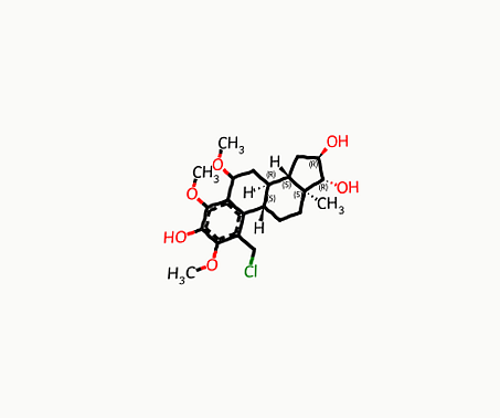 COc1c(O)c(OC)c2c(c1CCl)[C@H]1CC[C@]3(C)[C@@H](O)[C@H](O)C[C@H]3[C@@H]1CC2OC